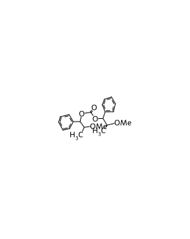 COC(C)C(OC(=O)OC(c1ccccc1)C(C)OC)c1ccccc1